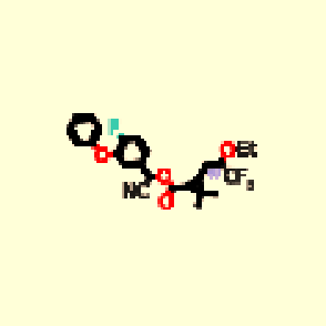 CCO/C(=C/C1C(C(=O)OC(C#N)c2ccc(F)c(Oc3ccccc3)c2)C1(C)C)C(F)(F)F